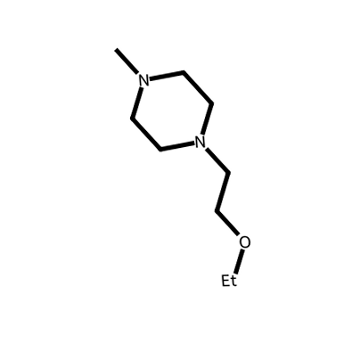 [CH2]COCCN1CCN(C)CC1